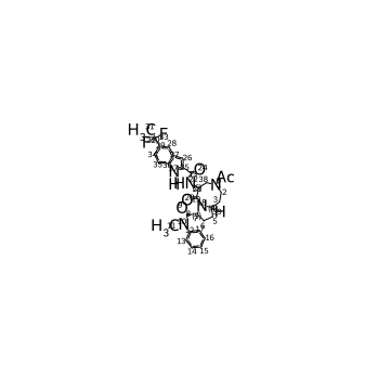 CC(=O)N1CC[C@H]2CC[C@@H](C(=O)N(C)c3ccccc3)N2C(=O)[C@@H](NC(=O)c2cc3cc(C(C)(F)F)ccc3[nH]2)C1